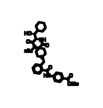 CCCCN1C(=O)[C@@H]([C@H](O)C2CCCCC2)NC(=O)C12CCN(Cc1ccccc1C(=O)Nc1ccc(C(=O)OC)cc1)CC2